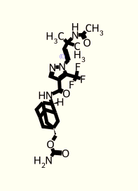 CC(=O)NC(C)(C)/C=C/n1ncc(C(=O)N[C@H]2C3CC4CC2C[C@](COC(N)=O)(C4)C3)c1C(F)(F)F